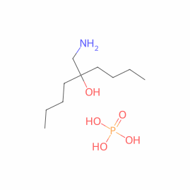 CCCCC(O)(CN)CCCC.O=P(O)(O)O